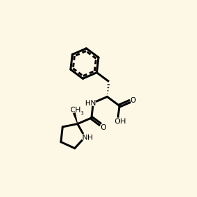 C[C@]1(C(=O)N[C@H](Cc2ccccc2)C(=O)O)CCCN1